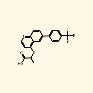 CC(Sc1ccnc2ccc(-c3ccc(C(F)(F)F)cc3)cc12)C(=O)O